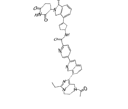 CCc1nc(-c2cccc3cc(-c4ccc(C(=O)NC5CC=C(c6cccc7c6CN(C6CCC(=O)NC6=O)C7=O)C5)nc4)ncc23)c2n1CCN(C(C)=O)C2